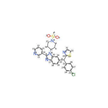 CS(=O)(=O)N1CCC(n2c(-c3cccnc3)nc3ccc(C(c4ccc(Cl)cc4)c4nccs4)cc32)CC1